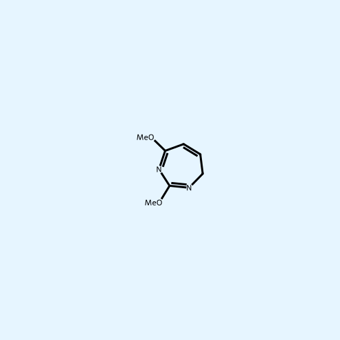 COC1=NC(OC)=NCC=C1